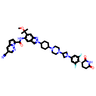 COC(C)(C)c1cc2nn(C3CCC(N4CCN(C5CN(c6cc(F)c([C@H]7CCC(=O)NC7=O)c(F)c6)C5)CC4)CC3)cc2cc1NC(=O)c1ccc2cc(C#N)cnn12